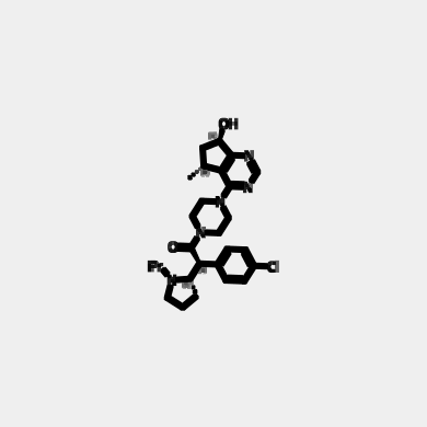 CC(C)N1CCC[C@H]1[C@@H](C(=O)N1CCN(c2ncnc3c2[C@H](C)C[C@H]3O)CC1)c1ccc(Cl)cc1